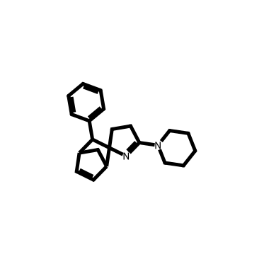 C1=CC2CC1C(c1ccccc1)C21CCC(N2CCCCC2)=N1